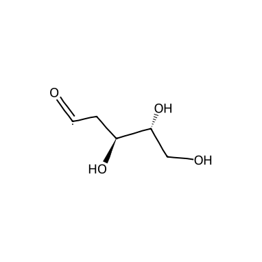 O=[C]C[C@H](O)[C@H](O)CO